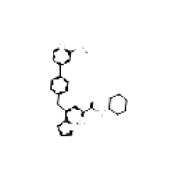 COc1cc(-c2ccc(Cc3cc(C(=O)N[C@@H]4CCCC[C@H]4O)nn4cccc34)cc2)ccn1